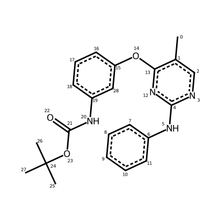 Cc1cnc(Nc2ccccc2)nc1Oc1cccc(NC(=O)OC(C)(C)C)c1